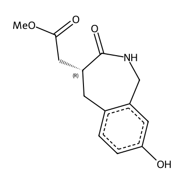 COC(=O)C[C@H]1Cc2ccc(O)cc2CNC1=O